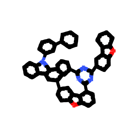 c1ccc(-c2cccc(-n3c4ccccc4c4cc(-c5ccc6oc7cccc(-c8nc(-c9ccccc9)nc(-c9ccc%10oc%11ccccc%11c%10c9)n8)c7c6c5)ccc43)c2)cc1